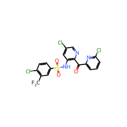 O=C(c1cccc(Cl)n1)c1ncc(Cl)cc1NS(=O)(=O)c1ccc(Cl)c(C(F)(F)F)c1